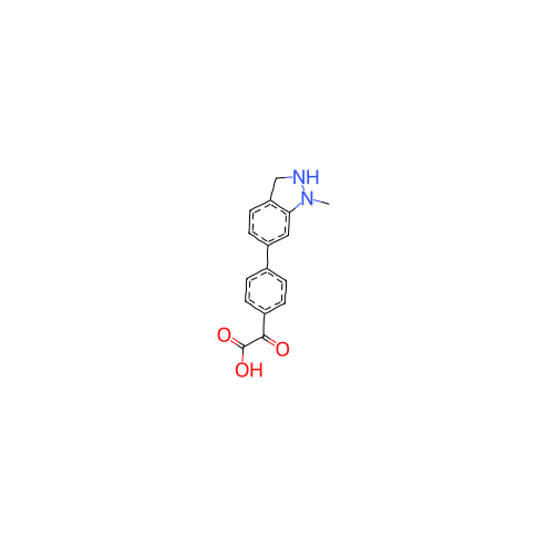 CN1NCc2ccc(-c3ccc(C(=O)C(=O)O)cc3)cc21